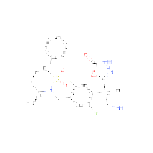 CC[C@@](CN)(c1n[nH]c(=O)o1)c1cc(F)c(CN2[C@@H](C)CC[C@H](c3ccccc3)S2(=O)=O)cc1F